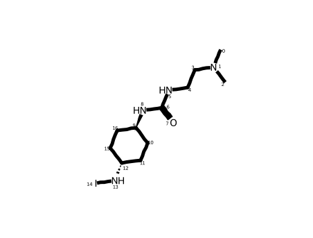 CN(C)CCNC(=O)N[C@H]1CC[C@H](NI)CC1